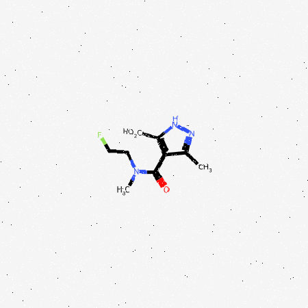 Cc1n[nH]c(C(=O)O)c1C(=O)N(C)CCF